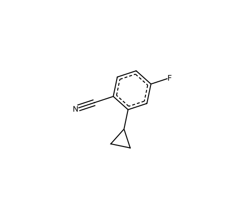 N#Cc1ccc(F)cc1C1CC1